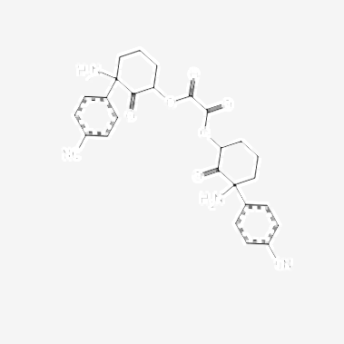 N#Cc1ccc(C2(N)CCCC(OC(=O)C(=O)OC3CCCC(N)(c4ccc(C#N)cc4)C3=O)C2=O)cc1